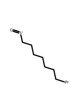 CC(C)CCCCCCC[S+]=O